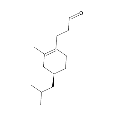 CC1=C(CCC=O)CC[C@@H](CC(C)C)C1